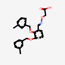 Cc1cccc(COc2cccc(C=NOCC(=O)O)c2OCc2cccc(C)c2)c1